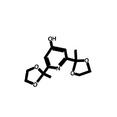 CC1(c2cc(O)cc(C3(C)OCCO3)n2)OCCO1